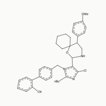 CCCCc1nc(Cl)c(C2NCC(c3ccc(OC)cc3)C3(CCCCC3)O2)n1Cc1ccc(-c2ccccc2C#N)cc1